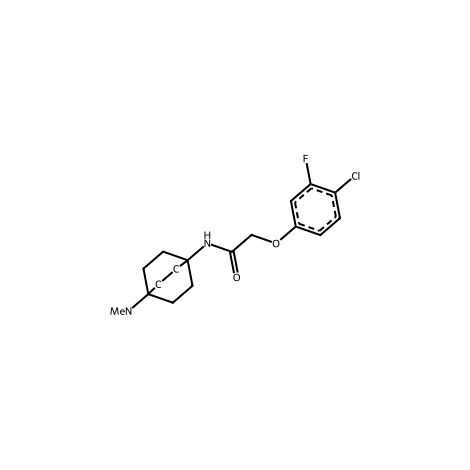 CNC12CCC(NC(=O)COc3ccc(Cl)c(F)c3)(CC1)CC2